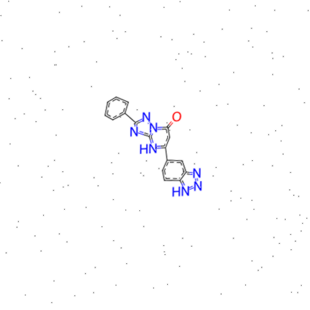 O=c1cc(-c2ccc3[nH]nnc3c2)[nH]c2nc(-c3ccccc3)nn12